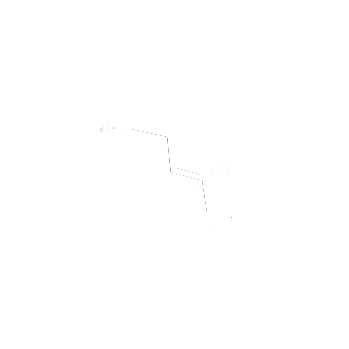 CCCCCCCCC=C(CCCCCC)C(=O)O